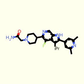 Cc1cc(-c2[nH]c3cnc(C4CCN(CC(N)=O)CC4)c(F)c3c2C(C)C)cc(C)n1